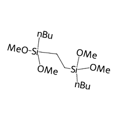 CCCC[Si](CC[Si](CCCC)(OC)OC)(OC)OC